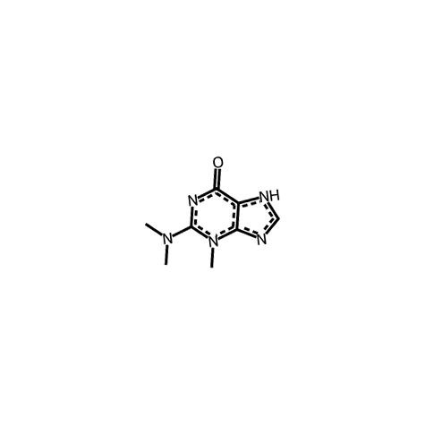 CN(C)c1nc(=O)c2[nH]cnc2n1C